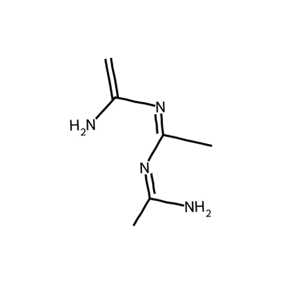 C=C(N)/N=C(C)\N=C(\C)N